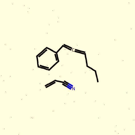 C=CC#N.CCCC=C=Cc1ccccc1